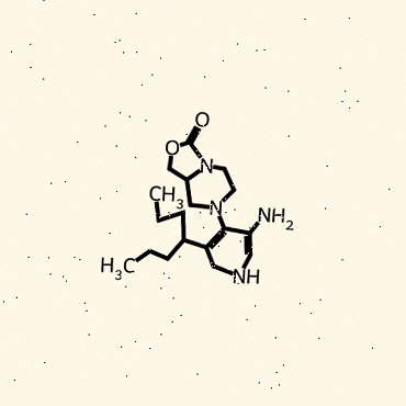 CCCC(CCC)C1=C(N2CCN3C(=O)OCC3C2)C(N)=CNC1